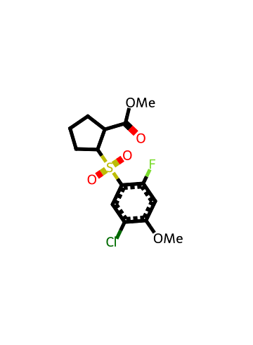 COC(=O)C1CCCC1S(=O)(=O)c1cc(Cl)c(OC)cc1F